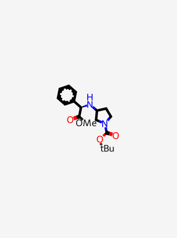 COC(=O)[C@H](NC1CCN(C(=O)OC(C)(C)C)C1)c1ccccc1